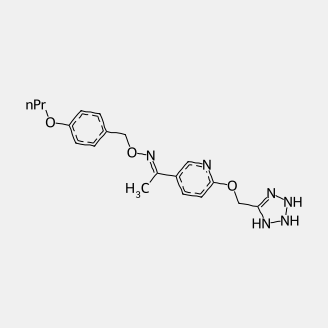 CCCOc1ccc(CO/N=C(\C)c2ccc(OCC3=NNNN3)nc2)cc1